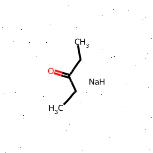 CCC(=O)CC.[NaH]